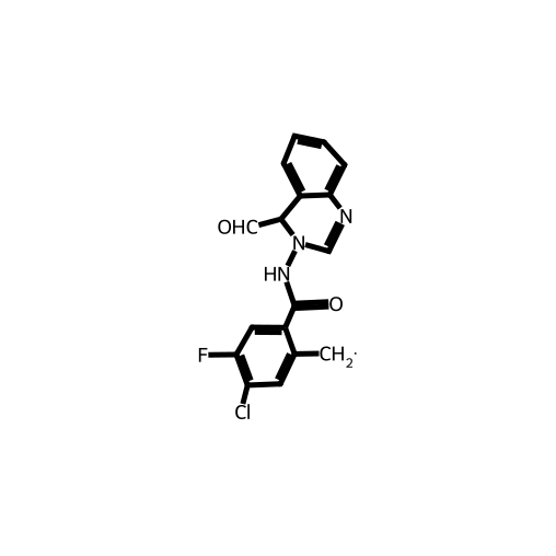 [CH2]c1cc(Cl)c(F)cc1C(=O)NN1C=Nc2ccccc2C1C=O